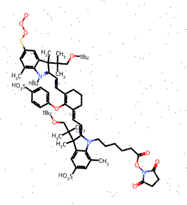 CCCC[N+]1=C(/C=C/C2=C(Oc3ccc(S(=O)(=O)O)cc3)C(=C/C=C3/N(CCCCCC(=O)ON4C(=O)CCC4=O)c4c(C)cc(S(=O)(=O)O)cc4C3(C)C(C)(C)COC(C)(C)C)/CCC2)C(C)(C(C)(C)COC(C)(C)C)c2cc(SOO[O-])cc(C)c21